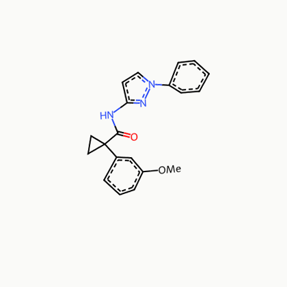 COc1cccc(C2(C(=O)Nc3ccn(-c4ccccc4)n3)CC2)c1